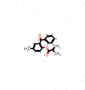 C=C(C)C(=O)Oc1ccc(C)cc1C(=O)c1ccccc1